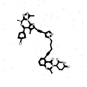 Cc1c(C#Cc2cnn(CCCC#Cc3cccc4nc(C)n(C5CCC(=O)NC5=O)c(=O)c34)c2)sc2c1C(c1ccc(Cl)cc1)=N[C@@H](C)c1nnc(C)n1-2